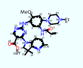 C=CC(=O)Nc1cc(Nc2ncc(C(=O)OC(C)C)c(N3CC(C)(C)c4nc(C)ccc43)n2)c(OC)cc1N1CCN(CC)CC1